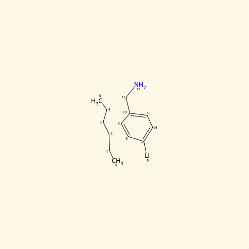 CCCCCC.[Li][c]1ccc(CN)cc1